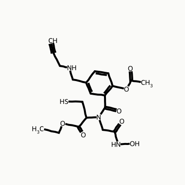 C#CCNCc1ccc(OC(C)=O)c(C(=O)N(CC(=O)NO)C(CS)C(=O)OCC)c1